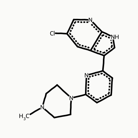 CN1CCN(c2cccc(-c3c[nH]c4ncc(Cl)cc34)n2)CC1